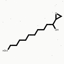 CCCCCCCCCCCCCCCCCC(O)C1CO1